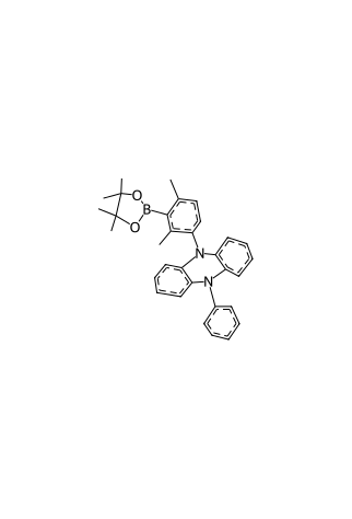 Cc1ccc(N2c3ccccc3N(c3ccccc3)c3ccccc32)c(C)c1B1OC(C)(C)C(C)(C)O1